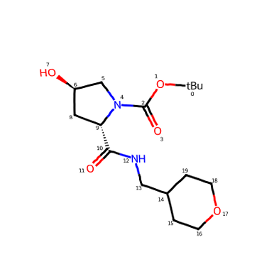 CC(C)(C)OC(=O)N1C[C@H](O)C[C@H]1C(=O)NCC1CCOCC1